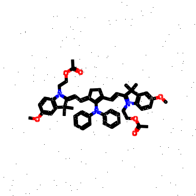 COc1ccc2c(c1)C(C)(C)C(/C=C/C1=C(N(c3ccccc3)c3ccccc3)C(=C/C=C3/N(CCOC(C)=O)c4ccc(OC)cc4C3(C)C)/CC1)=[N+]2CCOC(C)=O